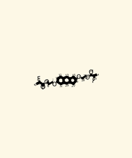 C=C(F)C(=O)OCCOc1ccc2cc3cc(OCCOC(=O)C(=C)F)ccc3cc2c1